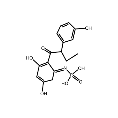 CCC(C(=O)C1=C(O)C=C(O)CC1=NP(=O)(O)O)c1cccc(O)c1